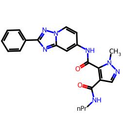 CCCNC(=O)c1cnn(C)c1C(=O)Nc1ccn2nc(-c3ccccc3)nc2c1